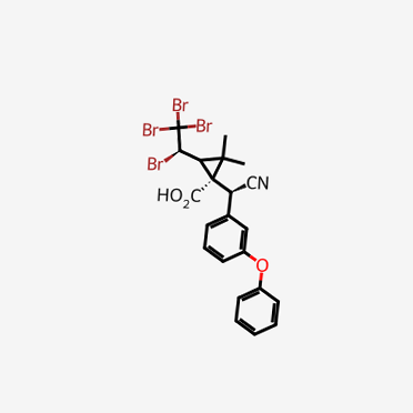 CC1(C)C([C@@H](Br)C(Br)(Br)Br)[C@]1(C(=O)O)[C@@H](C#N)c1cccc(Oc2ccccc2)c1